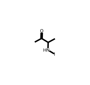 CC(=O)C(C)NI